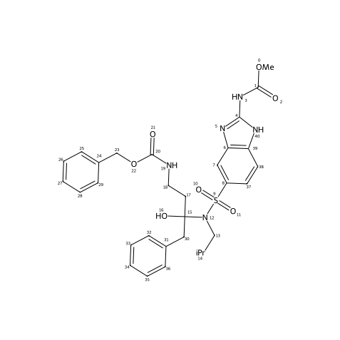 COC(=O)Nc1nc2cc(S(=O)(=O)N(CC(C)C)C(O)(CCNC(=O)OCc3ccccc3)Cc3ccccc3)ccc2[nH]1